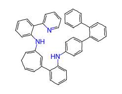 C1=CC(c2ccccc2Nc2ccc(-c3ccccc3-c3ccccc3)cc2)=CC(Nc2ccccc2-c2ccccn2)=CC1